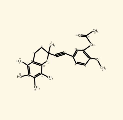 COc1ccc(C#CC2(C)CCc3c(C)c(O)c(C)c(C)c3O2)cc1OC(C)=O